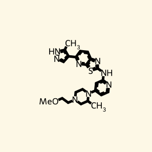 COCCN1CCN(c2ccnc(Nc3nc4ccc(-c5cn[nH]c5C)nc4s3)c2)C(C)C1